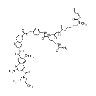 CCCN(CCC)C(=O)C1=Cc2cc(OC)c(C(=O)Nc3cnc4c(c3)CN(C(=O)OCc3ccc(NC(=O)[C@H](CCCNC(N)=O)NC(=O)CNC(=O)CCCCCN(C)C(=O)/C=C\C=O)cc3)CC4)cc2N=C(N)C1